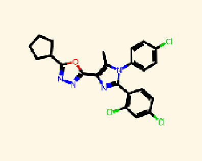 Cc1c(-c2nnc(C3CCCC3)o2)nc(-c2ccc(Cl)cc2Cl)n1-c1ccc(Cl)cc1